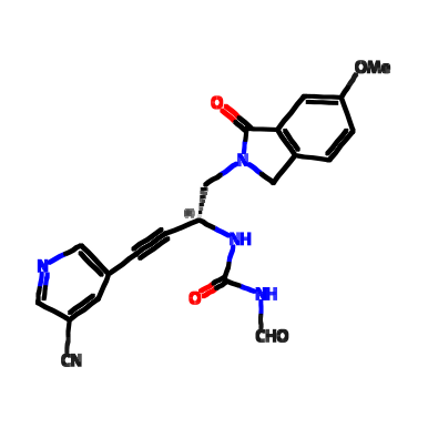 COc1ccc2c(c1)C(=O)N(C[C@@H](C#Cc1cncc(C#N)c1)NC(=O)NC=O)C2